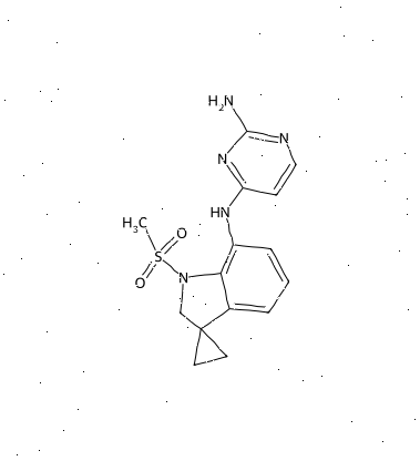 CS(=O)(=O)N1CC2(CC2)c2cccc(Nc3ccnc(N)n3)c21